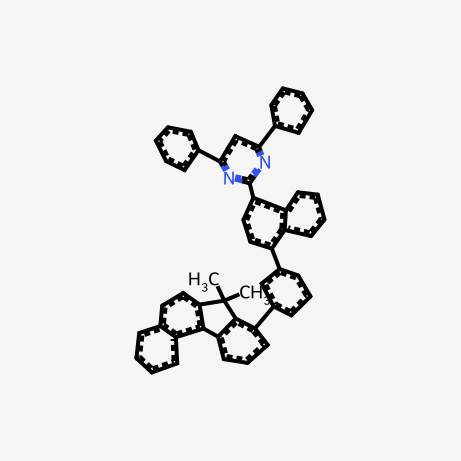 CC1(C)c2ccc3ccccc3c2-c2cccc(-c3cccc(-c4ccc(-c5nc(-c6ccccc6)cc(-c6ccccc6)n5)c5ccccc45)c3)c21